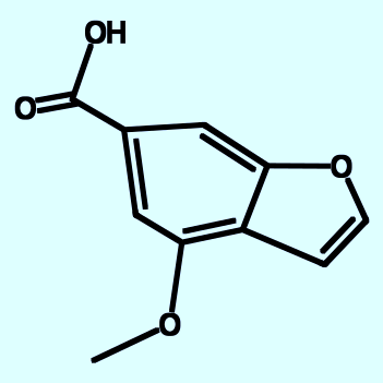 COc1cc(C(=O)O)cc2occc12